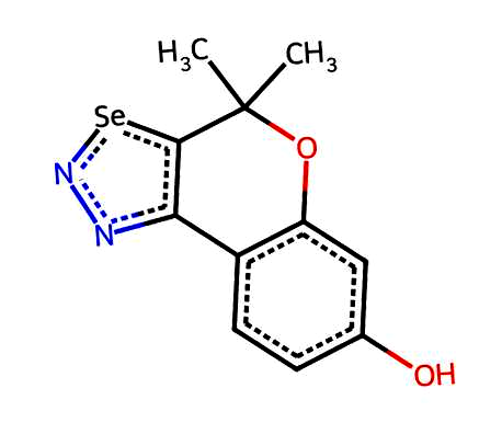 CC1(C)Oc2cc(O)ccc2-c2nn[se]c21